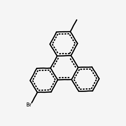 Cc1ccc2c3ccc(Br)cc3c3ccccc3c2c1